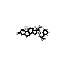 C[C@]12C=CC(=O)C=C1CC[C@@H]1[C@@H]2[C@@H](O)C[C@@]2(C)[C@H]1C[C@@H](OCC1(c3ccccc3)CO1)[C@]2(O)C(=O)CO